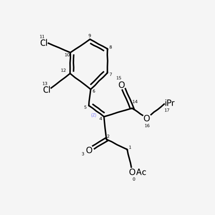 CC(=O)OCC(=O)/C(=C/c1cccc(Cl)c1Cl)C(=O)OC(C)C